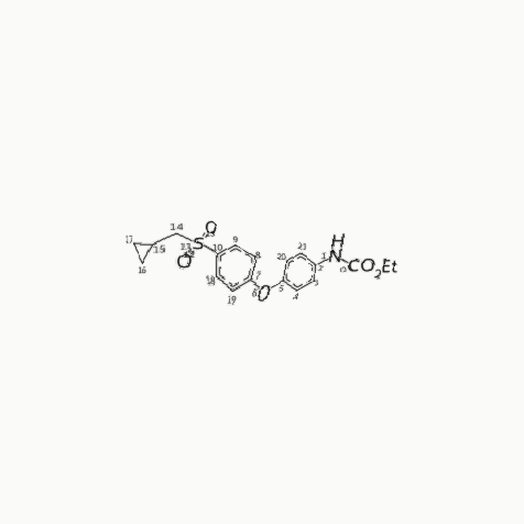 CCOC(=O)Nc1ccc(Oc2ccc(S(=O)(=O)CC3CC3)cc2)cc1